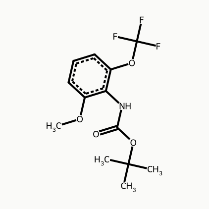 COc1cccc(OC(F)(F)F)c1NC(=O)OC(C)(C)C